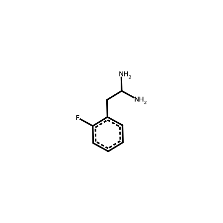 NC(N)Cc1ccccc1F